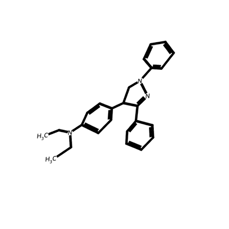 CCN(CC)c1ccc(C2CN(c3ccccc3)N=C2c2ccccc2)cc1